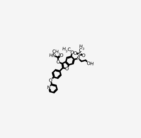 CNC(=O)Oc1c(-c2ccc(Oc3ccccn3)cc2)oc2cc(N(CCO)S(C)(=O)=O)c(OC)cc12